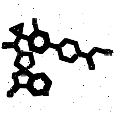 CC(C)CC(=O)N1CCN(c2ccc(C3(C(=O)N4CC[C@@]5(C4)OC(=O)c4cnccc45)CC3)c(F)c2)CC1